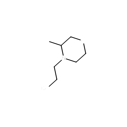 CC1COCCN1CCC(C)(C)C